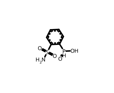 NS(=O)(=O)c1ccccc1[PH](=O)O